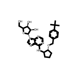 CC(C)(C)c1ccc(CO[C@@H]2CCCC2Nc2ncnc3c2ncn3[C@@H]2OC(CO)[C@@H](O)[C@H]2O)cc1